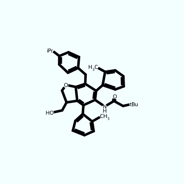 Cc1ccccc1-c1c(Cc2ccc(C(C)C)cc2)c2c(c(-c3ccccc3C)c1NC(=O)CC(C)(C)C)C(CO)CO2